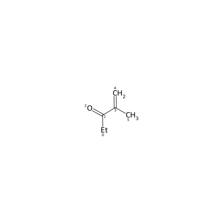 [CH2]CC(=O)C(=C)C